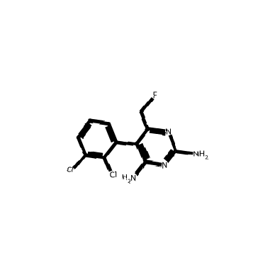 Nc1nc(N)c(-c2cccc(Cl)c2Cl)c(CF)n1